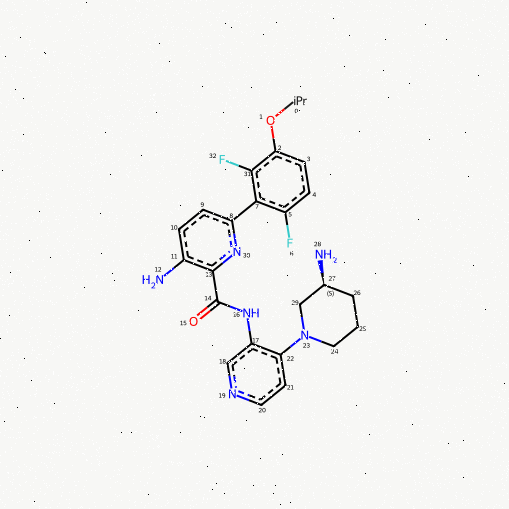 CC(C)Oc1ccc(F)c(-c2ccc(N)c(C(=O)Nc3cnccc3N3CCC[C@H](N)C3)n2)c1F